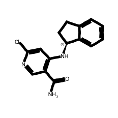 NC(=O)c1cnc(Cl)cc1N[C@H]1CCc2ccccc21